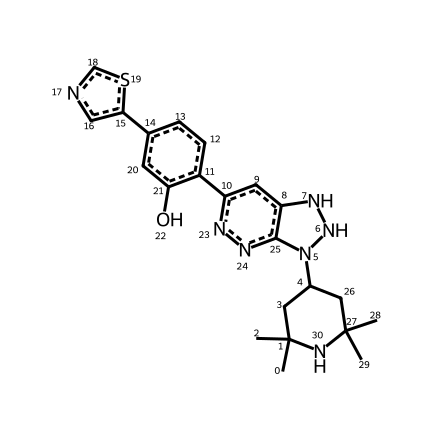 CC1(C)CC(N2NNc3cc(-c4ccc(-c5cncs5)cc4O)nnc32)CC(C)(C)N1